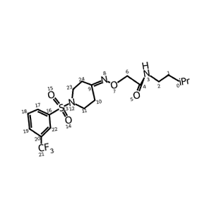 CC(C)CCNC(=O)CON=C1CCN(S(=O)(=O)c2cccc(C(F)(F)F)c2)CC1